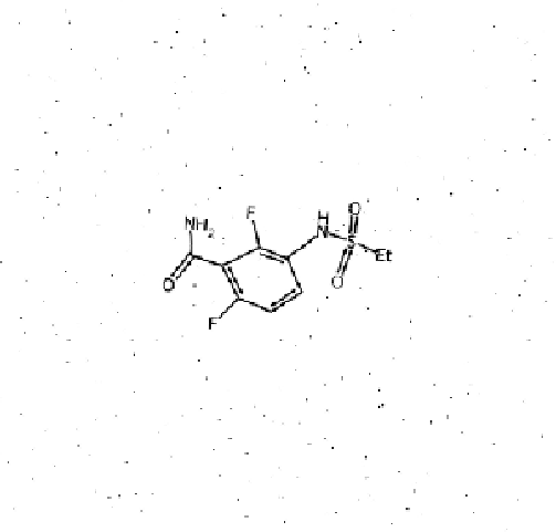 CCS(=O)(=O)Nc1ccc(F)c(C(N)=O)c1F